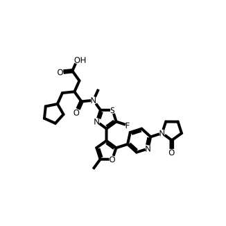 Cc1cc(-c2nc(N(C)C(=O)C(CC(=O)O)CC3CCCC3)sc2F)c(-c2ccc(N3CCCC3=O)nc2)o1